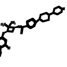 CC1(C)[C@@H](NC(=O)c2ccc(N3CCN(C4CCNCC4)CC3)cc2)C[C@@H]1Oc1ccc(C#N)c(Cl)c1